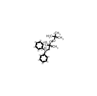 CC(C)(C)OOC(C)(C)C[SiH](c1ccccc1)c1ccccc1